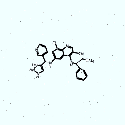 COC[C@H](Nc1c(C#N)cnc2c(Cl)cc(N[C@H](C3=CNNN3)c3cccnc3)cc12)c1ccccc1